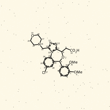 COc1cccc(C2OC(CC(=O)O)c3nnc(CN4CCOCC4)n3-c3ccc(Cl)cc32)c1OC